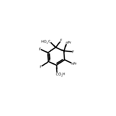 CCCC1=C(C(=O)O)C(F)=C(F)C(F)(C(=O)O)C1(F)CCC